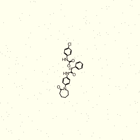 O=C(Nc1ccc(Cl)cc1)O[C@@H](C(=O)Nc1ccc(N2CCCCCC2=O)cc1)c1ccccc1